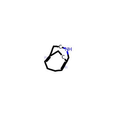 C1=C2/CCNC/C(=C/CC/1)CC2